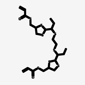 C=CC(=O)SCC1CSC(C(CC)SCCSC(CC)C2SCC(CSC(=O)C=C)S2)S1